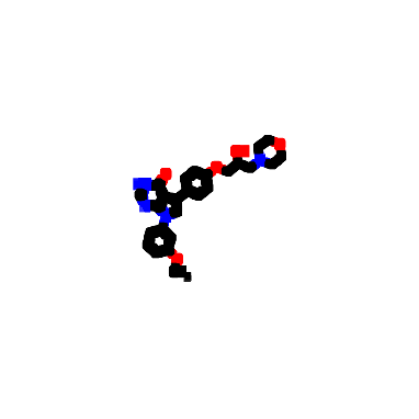 COc1cccc(-n2cc(-c3ccc(OCC(O)CN4CCOCC4)cc3)c3c(=O)[nH]cnc32)c1